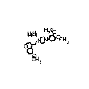 COc1ccc2c(c1)C(CCN1CCN(c3ccc(OC)c(OC)c3)CC1)CCO2.Cl.Cl